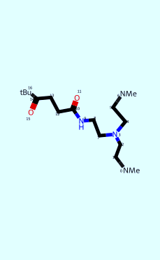 CNCCN(CCNC)CCNC(=O)CCC(=O)C(C)(C)C